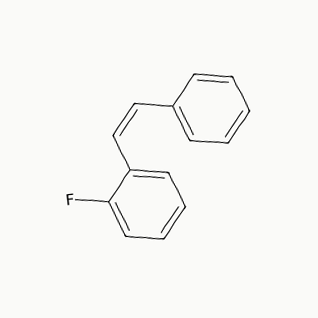 Fc1ccccc1/C=C\c1ccccc1